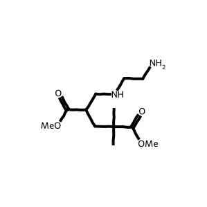 COC(=O)C(CNCCN)CC(C)(C)C(=O)OC